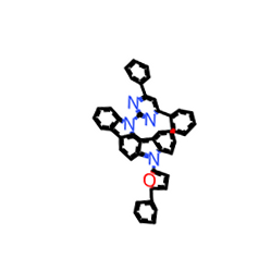 c1ccc(-c2cc(-c3ccccc3)nc(-n3c4ccccc4c4ccc5c(c6ccccc6n5-c5ccc(-c6ccccc6)o5)c43)n2)cc1